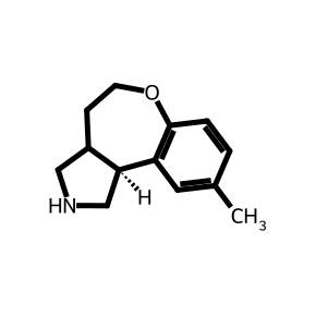 Cc1ccc2c(c1)[C@H]1CNCC1CCO2